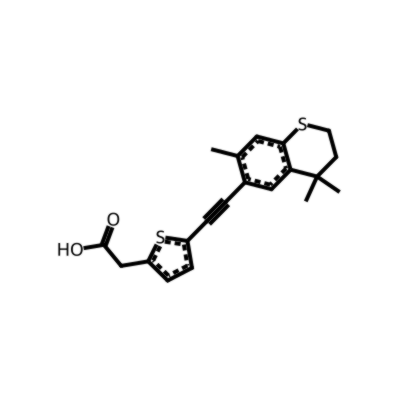 Cc1cc2c(cc1C#Cc1ccc(CC(=O)O)s1)C(C)(C)CCS2